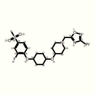 CC(C)c1noc(CN2CCC(OC3CCC(Oc4ccc(S(C)(=O)=O)cc4F)CC3)CC2)n1